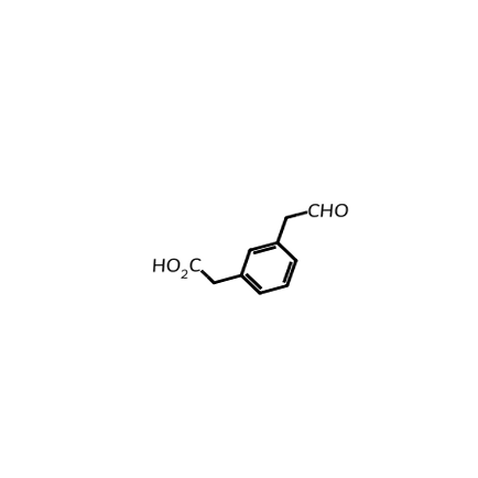 O=CCc1cccc(CC(=O)O)c1